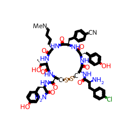 CNCCCC[C@@H]1NC(=O)[C@@H](Cc2ccc(C#N)cc2)NC(=O)[C@H](Cc2ccc(O)cc2)NC(=O)[C@H](NC(=O)[C@@H](N)Cc2ccc(Cl)cc2)CSSC[C@@H](C(=O)N[C@H](Cc2ccc(O)cc2)C(N)=O)NC(=O)[C@H]([C@@H](C)O)NC1=O